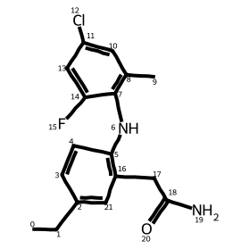 CCc1ccc(Nc2c(C)cc(Cl)cc2F)c(CC(N)=O)c1